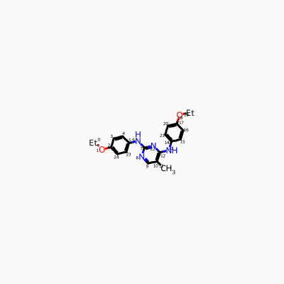 CCOc1ccc(Nc2ncc(C)c(Nc3ccc(OCC)cc3)n2)cc1